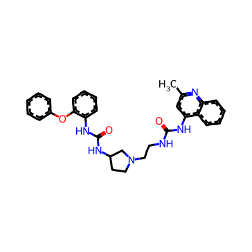 Cc1cc(NC(=O)NCCN2CCC(NC(=O)Nc3ccccc3Oc3ccccc3)C2)c2ccccc2n1